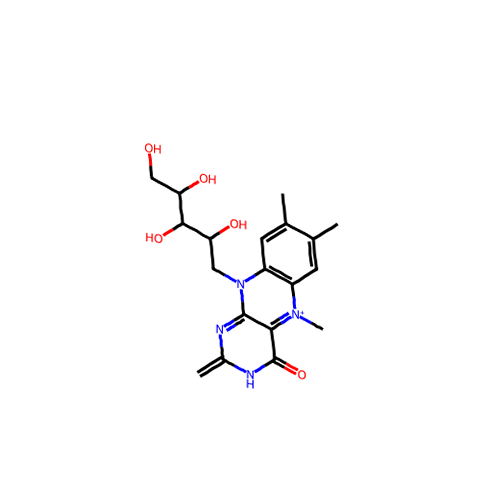 C=c1nc2c(c(=O)[nH]1)=[N+](C)c1cc(C)c(C)cc1N2CC(O)C(O)C(O)CO